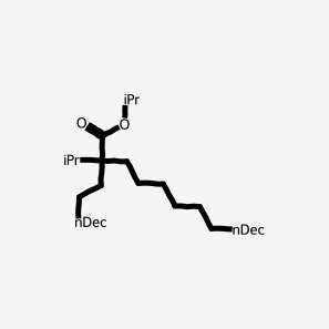 CCCCCCCCCCCCCCCCC(CCCCCCCCCCCC)(C(=O)OC(C)C)C(C)C